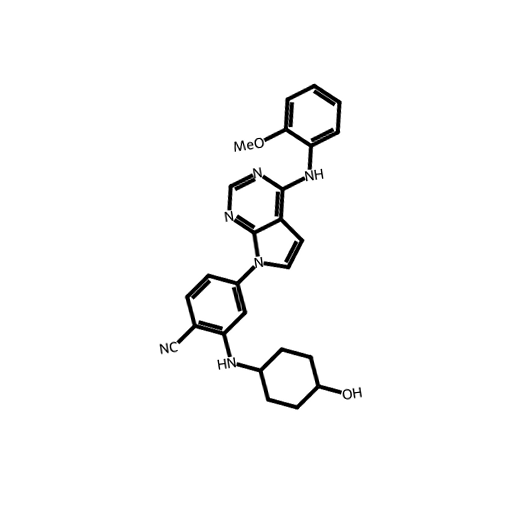 COc1ccccc1Nc1ncnc2c1ccn2-c1ccc(C#N)c(NC2CCC(O)CC2)c1